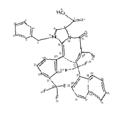 O=C(O)C1CN(Cc2ccccc2)c2c(-c3cccc(C(F)(F)F)c3)c(C(F)(F)c3cccc4ccccc34)c(Br)c(=O)n21